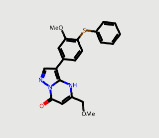 COCc1cc(=O)n2ncc(-c3ccc(Sc4ccccc4)c(OC)c3)c2[nH]1